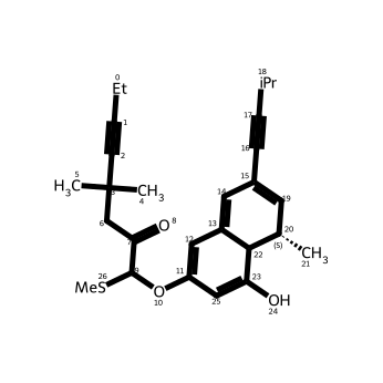 CCC#CC(C)(C)CC(=O)C(OC1=CC2=CC(C#CC(C)C)=C[C@H](C)C2C(O)=C1)SC